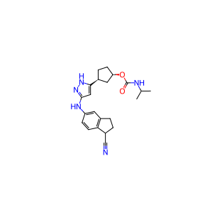 CC(C)NC(=O)O[C@@H]1CC[C@H](c2cc(Nc3ccc4c(c3)CCC4C#N)n[nH]2)C1